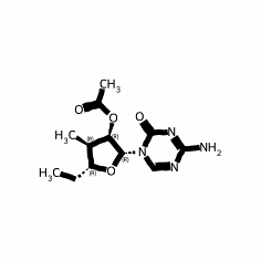 CC[C@H]1O[C@@H](n2cnc(N)nc2=O)[C@H](OC(C)=O)[C@@H]1C